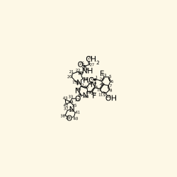 C#Cc1c(F)ccc2cc(O)cc(-c3ncc4c(N5CCCC[C@H](NC(=O)C=C)C5)nc(OCC5(CN6CCOCC6)CC5)nc4c3F)c12